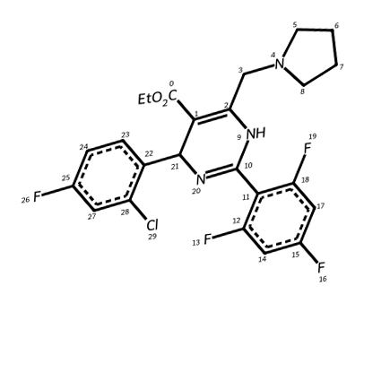 CCOC(=O)C1=C(CN2CCCC2)NC(c2c(F)cc(F)cc2F)=NC1c1ccc(F)cc1Cl